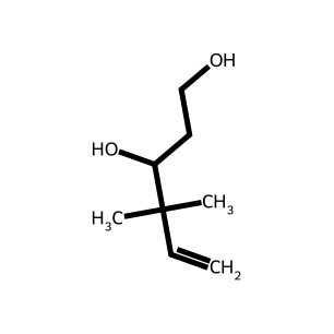 C=CC(C)(C)C(O)CCO